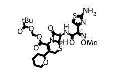 CO/N=C(\C(=O)N[C@@H]1C(=O)N2C(C(=O)OCOC(=O)C(C)(C)C)=C(C3CCCCO3)CS[C@H]12)c1csc(N)n1